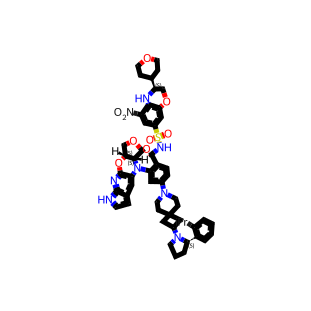 CC(C)c1ccccc1[C@@H]1CCCN1C1CC2(CCN(c3ccc(C(=O)NS(=O)(=O)c4cc5c(c([N+](=O)[O-])c4)N[C@@H](C4CCOCC4)CO5)c(N4c5cc6cc[nH]c6nc5O[C@@H]5COC[C@@H]54)c3)CC2)C1